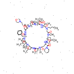 CCCCN1CC(=O)N(C)[C@@H](CC(C)C)C(=O)N[C@H](C(=O)N2CCCCC2)CC(=O)N(C)[C@@H](CC)C(=O)N[C@@H](CC(C)C)C(=O)N(C)[C@@H](CC(C)C)C(=O)N(C)[C@@H](Cc2ccccc2)C(=O)N[C@@H](COCCN2CCOCC2)C(=O)N(C)[C@@H](CC)C(=O)N(C)[C@@H](CC(C)C)C(=O)N[C@@H]([C@@H](C)O)C1=O